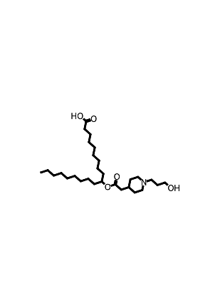 CCCCCCCCCC(CCCCCCCCC(=O)O)OC(=O)CC1CCN(CCCO)CC1